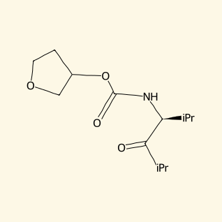 CC(C)C(=O)[C@@H](NC(=O)OC1CCOC1)C(C)C